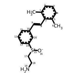 Cc1cccc(C)c1/C=C/c1cccc([S+]([O-])CCN)c1